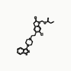 C=C(CC)OCN1C(=O)Cc2cc(CCN3CCN(c4nsc5ccccc45)CC3)c(Cl)cc21